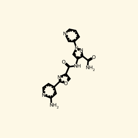 NC(=O)c1nn(-c2cccnc2)cc1NC(=O)c1coc(-c2ccnc(N)c2)n1